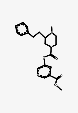 COC(=O)c1cncc(OC(=O)N2CCN(C)C(CCc3ccccc3)C2)c1